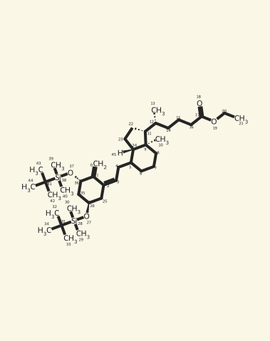 C=C1/C(=C\CC2CCC[C@]3(C)[C@@H]([C@H](C)CCCC(=O)OCC)CC[C@@H]23)C[C@@H](O[Si](C)(C)C(C)(C)C)C[C@@H]1O[Si](C)(C)C(C)(C)C